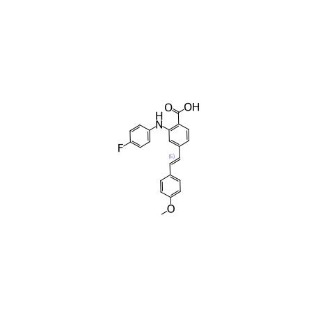 COc1ccc(/C=C/c2ccc(C(=O)O)c(Nc3ccc(F)cc3)c2)cc1